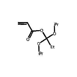 C=CC(=O)OC(CC)(OC(C)C)OC(C)C